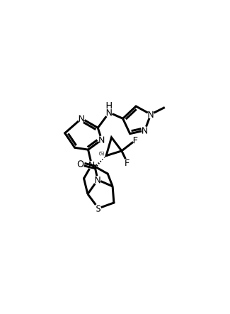 Cn1cc(Nc2nccc(N3CC4CSC(C3)N4C(=O)[C@@H]3CC3(F)F)n2)cn1